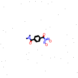 CN(C)C(=O)c1ccc(C(=O)N(N=O)N=O)cc1